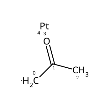 [CH2]C(C)=O.[Pt]